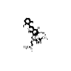 Cc1nnc(N(CCN(C)C)C[C@@]23CC[C@@H](c4cc(-c5c(F)cccc5F)nnc42)C(C)[C@H]3C)o1